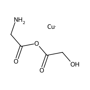 NCC(=O)OC(=O)CO.[Cu]